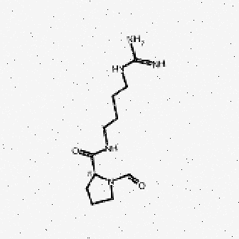 N=C(N)NCCCCNC(=O)[C@@H]1CCCN1C=O